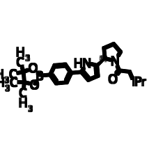 CC(C)CC(=O)N1CCC[C@@H]1c1ccc(-c2ccc(B3OC(C)(C)C(C)(C)O3)cc2)[nH]1